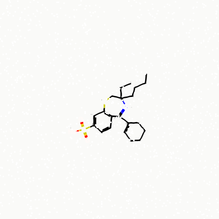 CCCCC1(CC)CSc2cc(S(=O)(=O)O)ccc2C(C2=CCCCC2)=N1